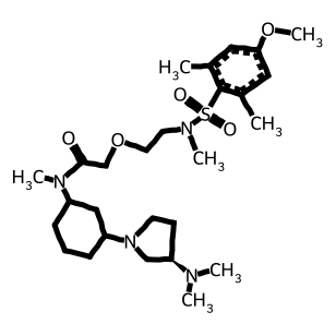 COc1cc(C)c(S(=O)(=O)N(C)CCOCC(=O)N(C)C2CCCC(N3CC[C@@H](N(C)C)C3)C2)c(C)c1